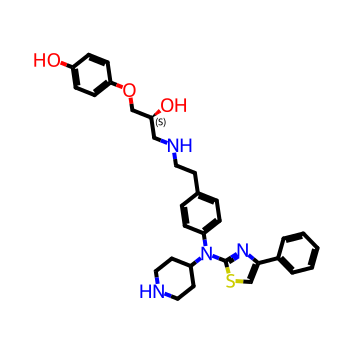 Oc1ccc(OC[C@@H](O)CNCCc2ccc(N(c3nc(-c4ccccc4)cs3)C3CCNCC3)cc2)cc1